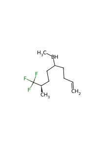 C=CCCC(BC)CC[C@@H](C)C(F)(F)F